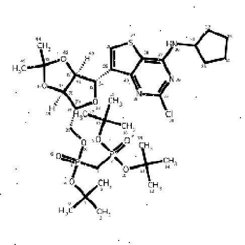 CC(C)(C)OP(=O)(CP(=O)(OC(C)(C)C)OC(C)(C)C)OC[C@H]1O[C@@H](c2csc3c(NC4CCCC4)nc(Cl)nc23)[C@@H]2OC(C)(C)O[C@@H]21